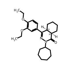 CCOc1ccc(C2=NN(C3CCCCCC3)C(=O)[C@@H]3CCCC[C@H]23)cc1OCC